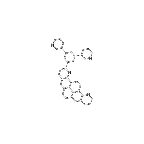 c1cncc(-c2cc(-c3cccnc3)cc(-c3ccc4cc5ccc6cc7cccnc7c7ccc(c4n3)c5c67)c2)c1